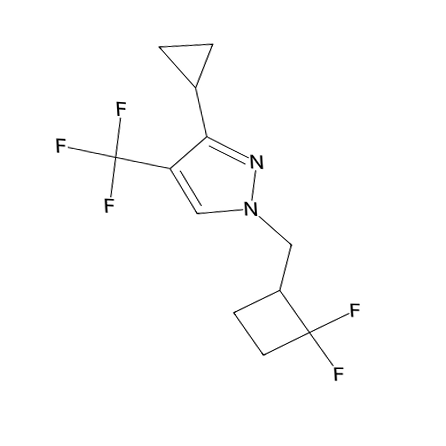 FC(F)(F)c1cn(CC2CCC2(F)F)nc1C1CC1